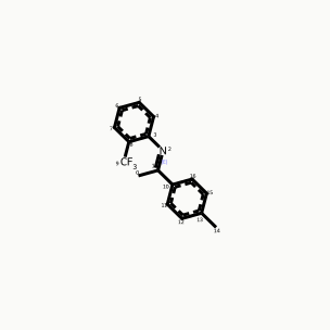 C/C(=N\c1ccccc1C(F)(F)F)c1ccc(C)cc1